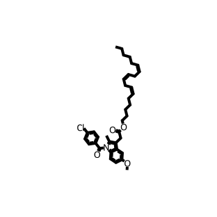 CCCCC/C=C\C/C=C\C/C=C\CCCCCOC(=O)Cc1c(C)n(C(=O)c2ccc(Cl)cc2)c2ccc(OC)cc12